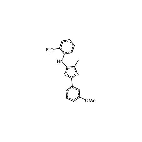 COc1cccc(-c2nc(Nc3ccccc3C(F)(F)F)c(C)s2)c1